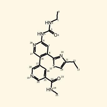 CCNC(=O)Nc1cc(-c2nc(CC)cs2)c(-c2cncc(C(=O)NC)c2)cn1